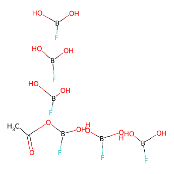 CC(=O)OB(O)F.OB(O)F.OB(O)F.OB(O)F.OB(O)F.OB(O)F